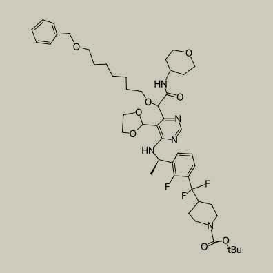 C[C@@H](Nc1ncnc(C(OCCCCCCCOCc2ccccc2)C(=O)NC2CCOCC2)c1C1OCCO1)c1cccc(C(F)(F)C2CCN(C(=O)OC(C)(C)C)CC2)c1F